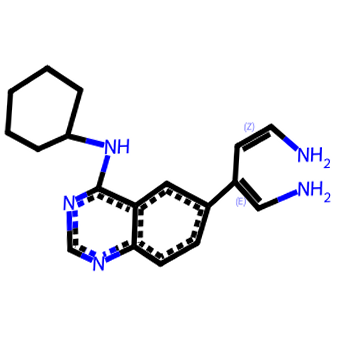 N/C=C\C(=C/N)c1ccc2ncnc(NC3CCCCC3)c2c1